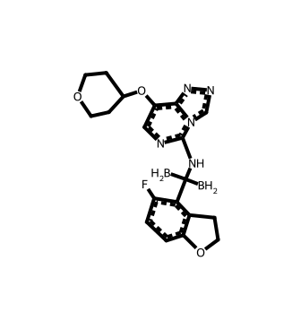 BC(B)(Nc1ncc(OC2CCOCC2)c2nncn12)c1c(F)ccc2c1CCO2